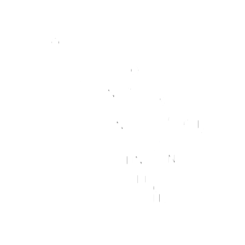 C=c1sc2c(=O)n(-c3ccc4c(c3)CCO4)cnc2/c1=C(/N=C\C)NCC